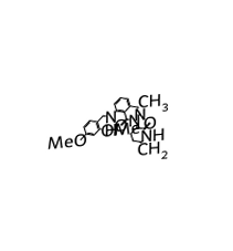 C=C1CCC(n2nc(C)c3cccc(NCc4ccc(OC)cc4OC)c3c2=O)C(=O)N1